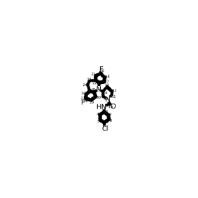 O=C(Nc1ccc(Cl)cc1)N1CC=CC(N2c3ccc(F)cc3CCc3cc(F)ccc32)C1